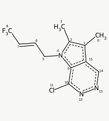 Cc1c(C)n(CC=CC(F)(F)F)c2c(Cl)nncc12